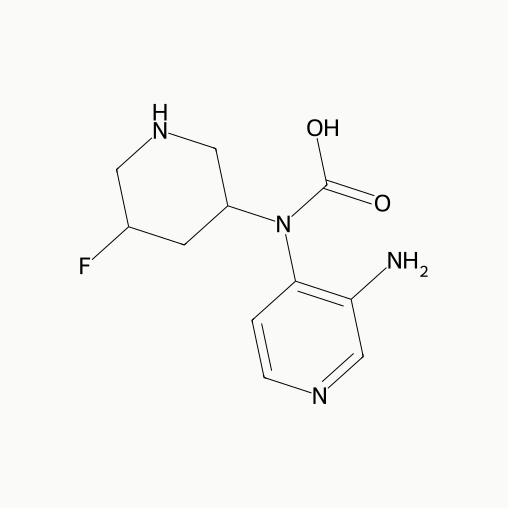 Nc1cnccc1N(C(=O)O)C1CNCC(F)C1